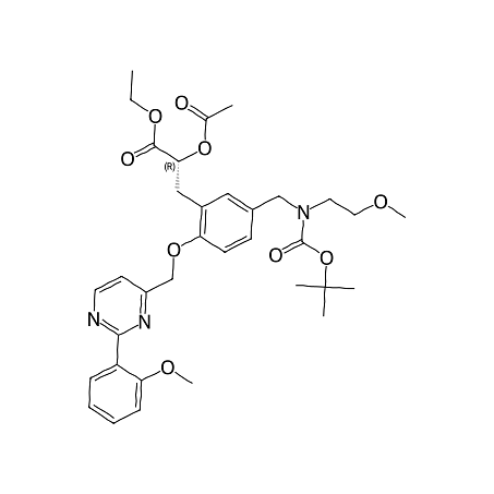 CCOC(=O)[C@@H](Cc1cc(CN(CCOC)C(=O)OC(C)(C)C)ccc1OCc1ccnc(-c2ccccc2OC)n1)OC(C)=O